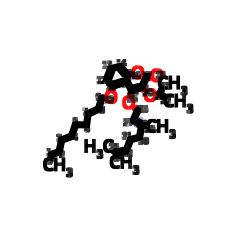 CCCCCCCCCCOc1cccc2oc(=O)c(OC(C)C)c(OC/C=C(\C)CCC=C(C)C)c12